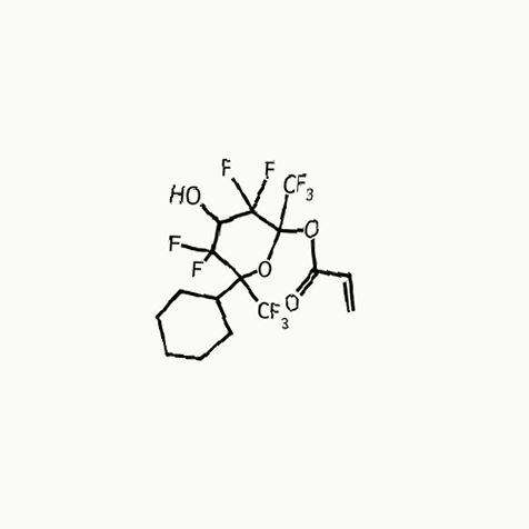 C=CC(=O)OC1(C(F)(F)F)OC(C2CCCCC2)(C(F)(F)F)C(F)(F)C(O)C1(F)F